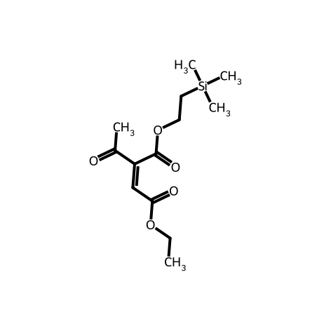 CCOC(=O)/C=C(/C(C)=O)C(=O)OCC[Si](C)(C)C